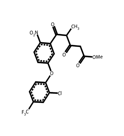 COC(=O)CC(=O)C(C)C(=O)c1cc(Oc2ccc(C(F)(F)F)cc2Cl)ccc1[N+](=O)[O-]